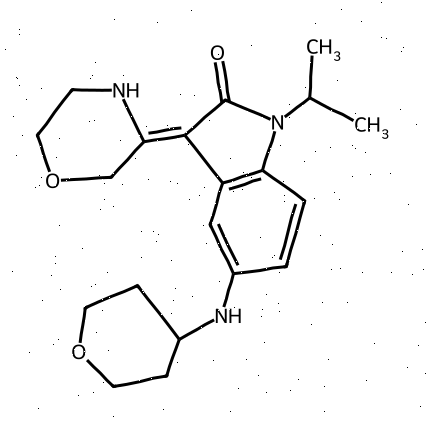 CC(C)N1C(=O)/C(=C2/COCCN2)c2cc(NC3CCOCC3)ccc21